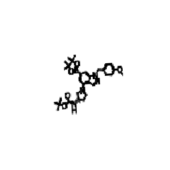 COc1ccc(Cn2ncc3c(N4CC[C@H](NC(=O)OC(C)(C)C)C4)cc(B4OC(C)(C)C(C)(C)O4)cc32)cc1